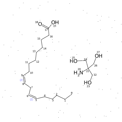 CCCCC/C=C\C/C=C\CCCCCCCC(=O)O.NC(CO)(CO)CO